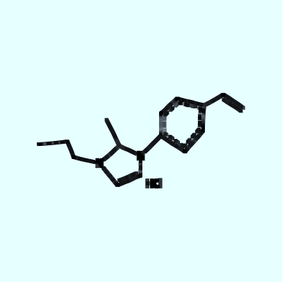 C=Cc1ccc(N2C=CN(CCC)C2C)cc1.Cl